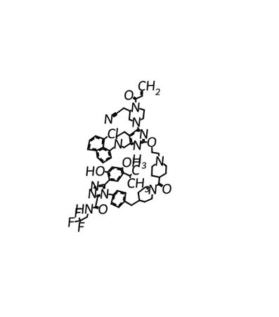 C=CC(=O)N1CCN(c2nc(OCCN3CCC(C(=O)N4CCC(Cc5ccc(-n6c(C(=O)NCC(F)(F)F)nnc6-c6cc(C(C)C)c(O)cc6O)cc5)CC4)CC3)nc3c2CCN(c2cccc4cccc(Cl)c24)C3)CC1CC#N